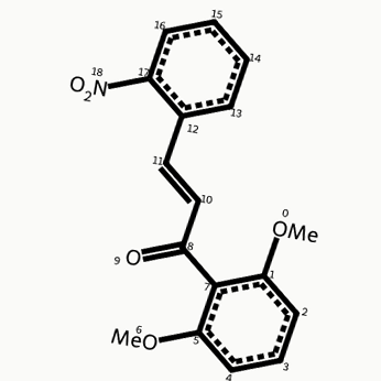 COc1cccc(OC)c1C(=O)/C=C/c1ccccc1[N+](=O)[O-]